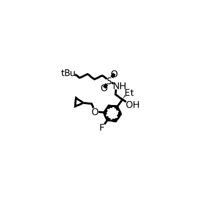 CC[C@@](O)(CNS(=O)(=O)CCCCC(C)(C)C)c1ccc(F)c(OCC2CC2)c1